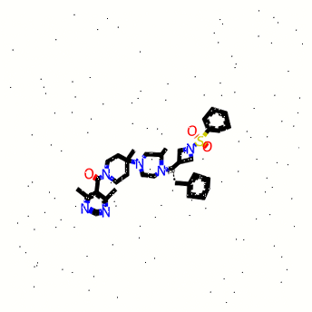 Cc1ncnc(C)c1C(=O)N1CCC(C)(N2CCN([C@@H](Cc3ccccc3)C3CN(S(=O)(=O)c4ccccc4)C3)C(C)C2)CC1